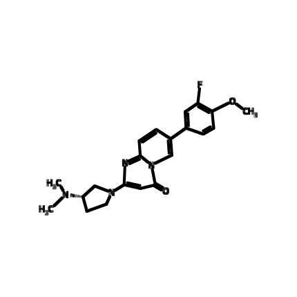 COc1ccc(-c2ccc3nc(N4CC[C@H](N(C)C)C4)cc(=O)n3c2)cc1F